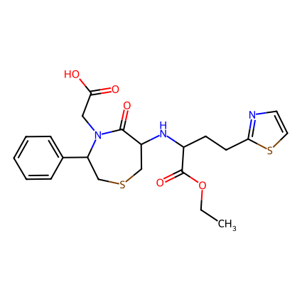 CCOC(=O)C(CCc1nccs1)NC1CSCC(c2ccccc2)N(CC(=O)O)C1=O